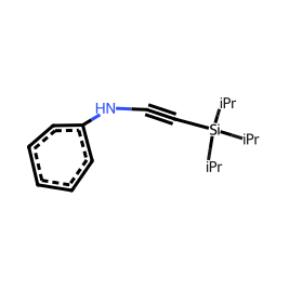 CC(C)[Si](C#CNc1ccccc1)(C(C)C)C(C)C